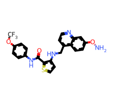 NOc1ccc2c(CNc3ccsc3C(=O)Nc3ccc(OC(F)(F)F)cc3)ccnc2c1